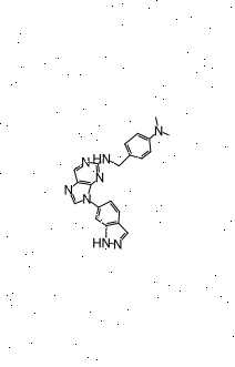 CN(C)c1ccc(CNc2ncc3ncn(-c4ccc5cn[nH]c5c4)c3n2)cc1